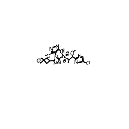 COc1ncnc(OC)c1-n1c(NS(=O)(=O)C(C)C(OC)c2ncc(Cl)cn2)nnc1C1CC2(COC2)C1